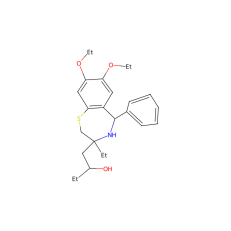 CCOc1cc2c(cc1OCC)C(c1ccccc1)NC(CC)(CC(O)CC)CS2